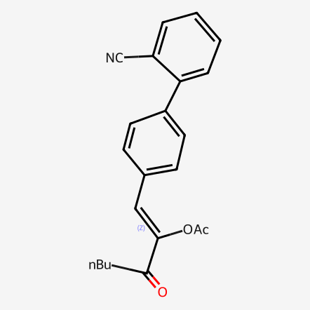 CCCCC(=O)/C(=C/c1ccc(-c2ccccc2C#N)cc1)OC(C)=O